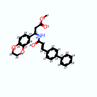 COC(=O)CC(NC(=O)/C=C/c1ccc(-c2ccccc2)cc1)c1ccc2c(c1)OCCO2